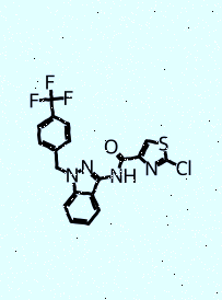 O=C(Nc1nn(Cc2ccc(C(F)(F)F)cc2)c2ccccc12)c1csc(Cl)n1